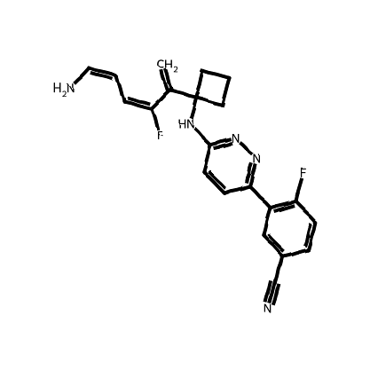 C=C(/C(F)=C\C=C/N)C1(Nc2ccc(-c3cc(C#N)ccc3F)nn2)CCC1